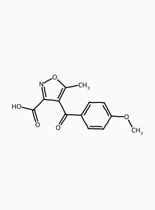 COc1ccc(C(=O)c2c(C(=O)O)noc2C)cc1